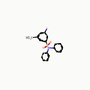 O=C(O)c1cc(I)cc(S(=O)(=O)N(c2ccccc2)c2ccccc2)c1